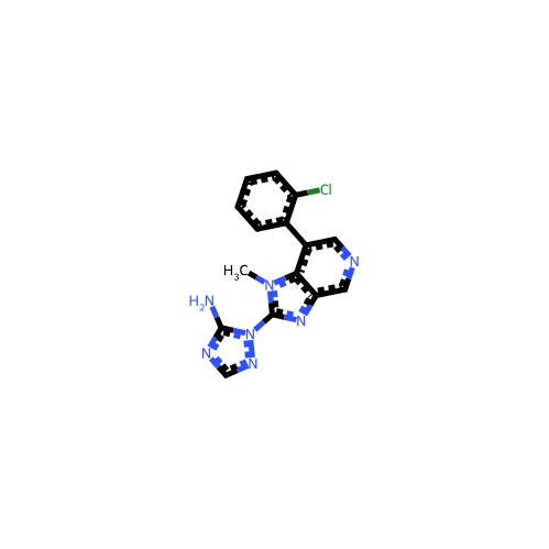 Cn1c(-n2ncnc2N)nc2cncc(-c3ccccc3Cl)c21